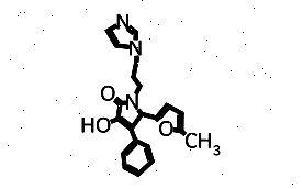 Cc1ccc(C2C(c3ccccc3)=C(O)C(=O)N2CCCn2ccnc2)o1